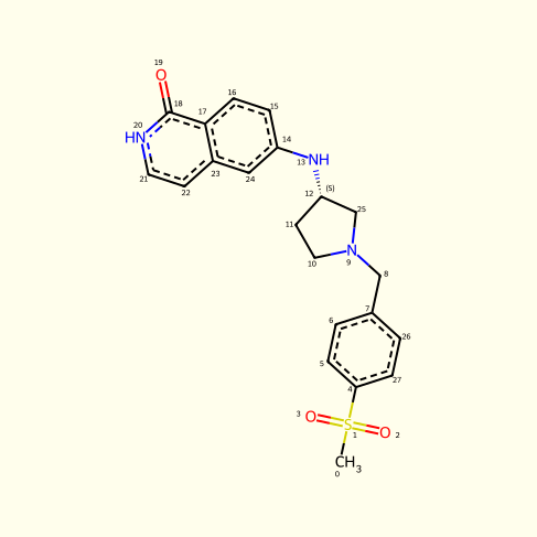 CS(=O)(=O)c1ccc(CN2CC[C@H](Nc3ccc4c(=O)[nH]ccc4c3)C2)cc1